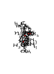 CC[C@]1(O)C[C@H]2CN(CCc3c([nH]c4ccccc34)[C@@](C(=O)OC)(c3cc4c(cc3OC)N(C)C3[C@]45CCN4CC=C[C@](CC)(C45)[C@@H](OC(=O)CCC(=O)O)[C@]3(O)C(=O)OC)C2)C1